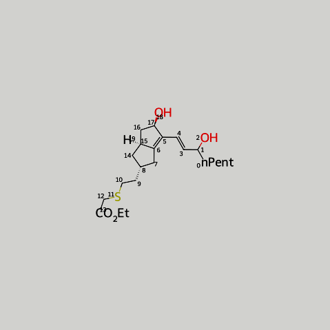 CCCCCC(O)C=CC1=C2C[C@H](CCSCC(=O)OCC)C[C@H]2C[C@H]1O